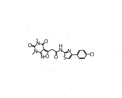 Cn1c(=O)c2c(CC(=O)Nc3nc(-c4ccc(Cl)cc4)cs3)onc2n(C)c1=O